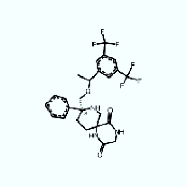 CC(OC[C@@]1(c2ccccc2)CCC2(CN1)NC(=O)CNC2=O)c1cc(C(F)(F)F)cc(C(F)(F)F)c1